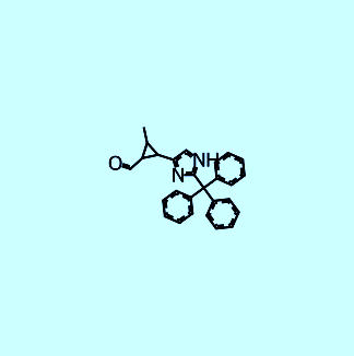 CC1C(C=O)C1c1c[nH]c(C(c2ccccc2)(c2ccccc2)c2ccccc2)n1